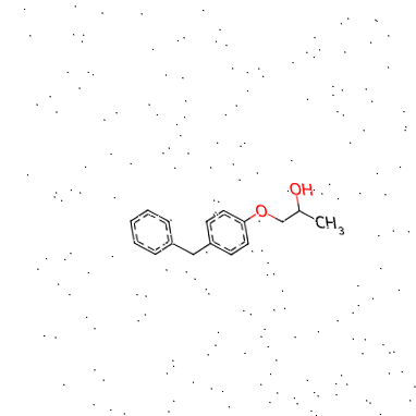 CC(O)COc1ccc(Cc2ccccc2)cc1